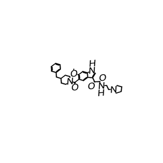 COc1cc2[nH]cc(C(=O)C(=O)NCCN3CCCC3)c2cc1C(=O)N1CCC(Cc2ccccc2)CC1